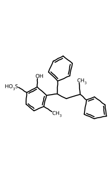 Cc1ccc(S(=O)(=O)O)c(O)c1C(CC(C)c1ccccc1)c1ccccc1